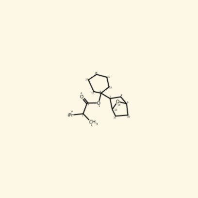 CC(C)C(C)C(=O)OC1(C2CC3CCC2O3)CCCCC1